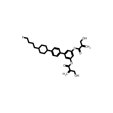 C=C(CO)C(=O)Oc1cc(OC(=O)C(=C)CO)cc(-c2ccc(C3CCC(CCCCF)CC3)cc2)c1